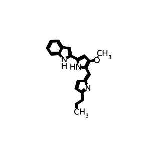 CCCC1=NC(=Cc2[nH]c(-c3cc4ccccc4[nH]3)cc2OC)C=C1